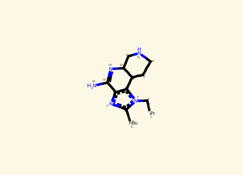 CCCCc1nc2c(n1CC(C)C)C1CCNCC1N=C2N